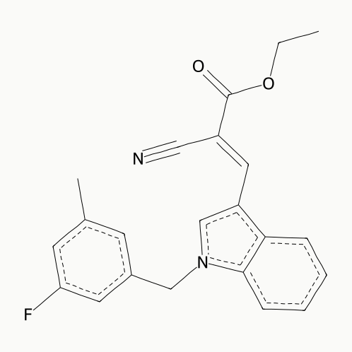 CCOC(=O)/C(C#N)=C/c1cn(Cc2cc(C)cc(F)c2)c2ccccc12